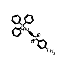 Cc1ccc(S(=O)(=O)C#[C][Au][PH](c2ccccc2)(c2ccccc2)c2ccccc2)cc1